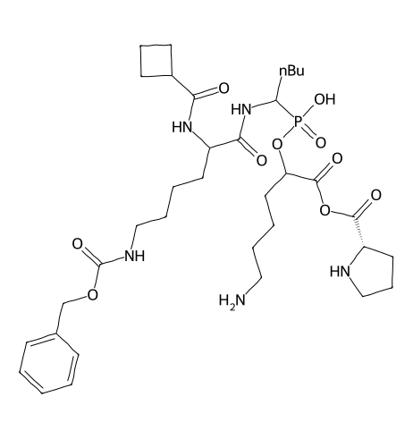 CCCCC(NC(=O)C(CCCCNC(=O)OCc1ccccc1)NC(=O)C1CCC1)P(=O)(O)OC(CCCCN)C(=O)OC(=O)[C@@H]1CCCN1